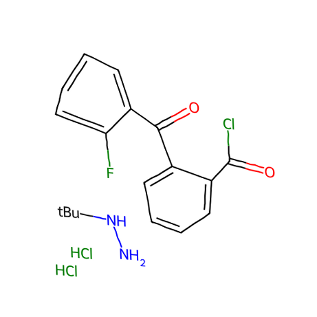 CC(C)(C)NN.Cl.Cl.O=C(Cl)c1ccccc1C(=O)c1ccccc1F